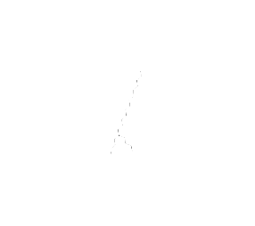 [CH2]CCCCCCCCCCCCC(CCCC)CCCC